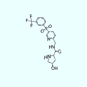 O=C(NCc1ccc(S(=O)(=O)c2cccc(C(F)(F)F)c2)cn1)C1C[C@@H](O)CN1